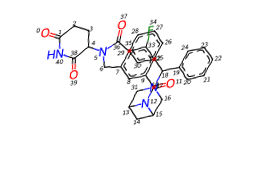 O=C1CCC(N2Cc3cc(C(=O)N4C5CC4CN(C(c4ccccc4)c4ccccc4)C5)cc(F)c3C2=O)C(=O)N1